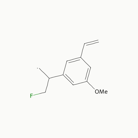 [CH2]C(CF)c1cc(C=C)cc(OC)c1